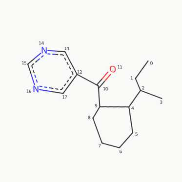 CCC(C)C1CCCCC1C(=O)c1cncnc1